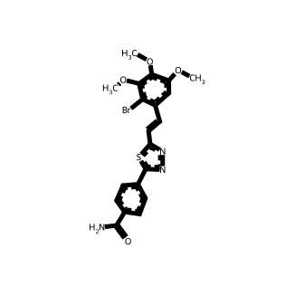 COc1cc(/C=C/c2nnc(-c3ccc(C(N)=O)cc3)s2)c(Br)c(OC)c1OC